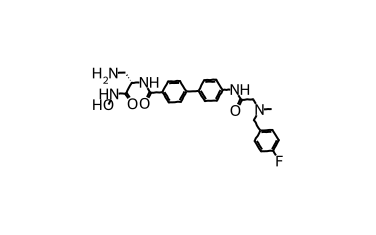 CN(CC(=O)Nc1ccc(-c2ccc(C(=O)N[C@@H](CN)C(=O)NO)cc2)cc1)Cc1ccc(F)cc1